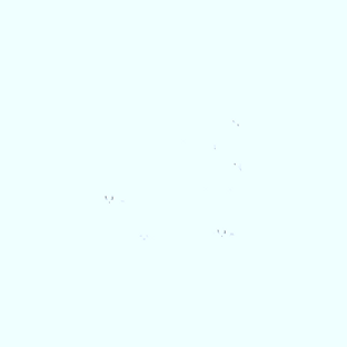 COc1ccc(C(=O)N2CCNC2=O)c(OC)c1OC